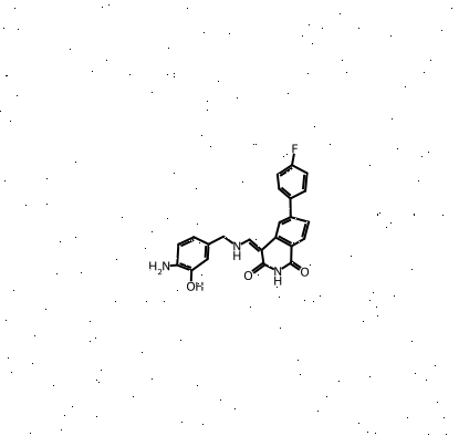 Nc1ccc(CNC=C2C(=O)NC(=O)c3ccc(-c4ccc(F)cc4)cc32)cc1O